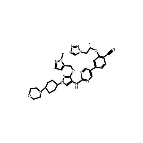 C[C@@H](Cn1cnnn1)Oc1cc(-c2cnc(Nc3cn(C4CCC(N5CCOCC5)CC4)nc3OCc3ccnn3C)nc2)ccc1C#N